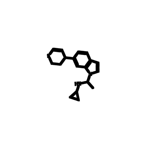 CC(NC1CC1)n1ccc2ccc(C3C=CSCC3)cc21